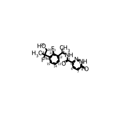 C[C@@H](NC(=O)c1ccc(=O)[nH]n1)c1cccc(C(C)(F)CO)c1F